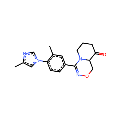 Cc1cn(-c2ccc(C3=NOCC4C(=O)CCCN34)cc2C)cn1